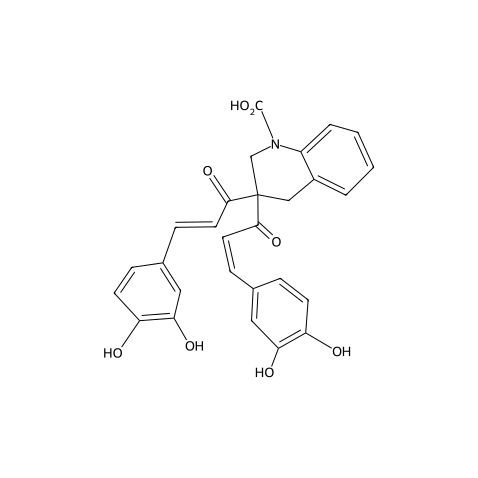 O=C(O)N1CC(C(=O)C=Cc2ccc(O)c(O)c2)(C(=O)C=Cc2ccc(O)c(O)c2)Cc2ccccc21